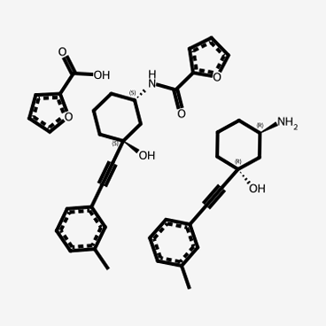 Cc1cccc(C#C[C@@]2(O)CCC[C@@H](N)C2)c1.Cc1cccc(C#C[C@]2(O)CCC[C@H](NC(=O)c3ccco3)C2)c1.O=C(O)c1ccco1